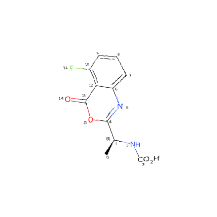 C[C@H](NC(=O)O)c1nc2cccc(F)c2c(=O)o1